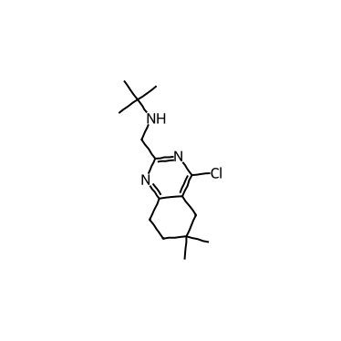 CC1(C)CCc2nc(CNC(C)(C)C)nc(Cl)c2C1